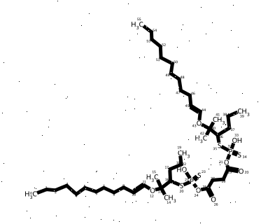 CCCCCCCCCCC=COC(C)(C)C(CCC)SP(O)(=S)OC(=O)CCC(=O)OP(O)(=S)SC(CCC)C(C)(C)OC=CCCCCCCCCCC